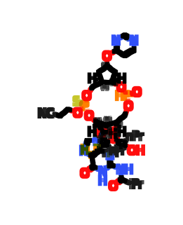 CCC[Si](O)(CCC)O[Si](P)(CCC)O[C@H]1[C@H]2OP(=S)(OCCC#N)OC[C@H]3C[C@@H](Oc4ccncn4)C[C@@H]3O[PH](=O)OC[C@H]1O[C@H]2n1cnc2c(=O)[nH]c(NC(=O)C(C)C)nc21